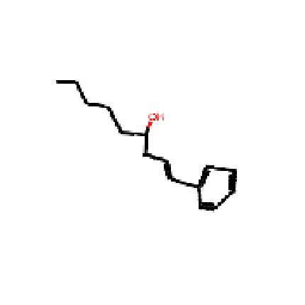 CCCCCC(O)CC=Cc1ccccc1